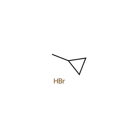 Br.CC1CC1